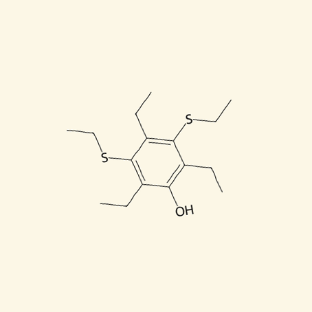 CCSc1c(CC)c(O)c(CC)c(SCC)c1CC